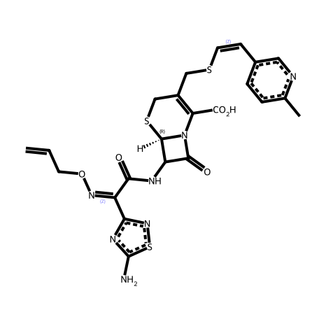 C=CCO/N=C(\C(=O)NC1C(=O)N2C(C(=O)O)=C(CS/C=C\c3ccc(C)nc3)CS[C@H]12)c1nsc(N)n1